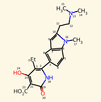 CCc1c(-c2ccc3c(c2)cc(CCN(C)C)n3C)[nH]c(=O)c(C(=O)O)c1O